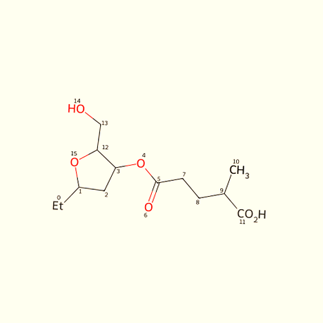 CCC1CC(OC(=O)CCC(C)C(=O)O)C(CO)O1